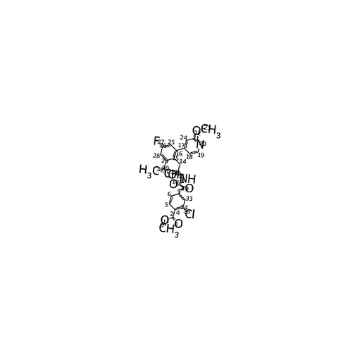 COC(=O)c1ccc(S(=O)(=O)NC(=O)Cc2c(-c3ccnc(OC)c3)cc(F)cc2C(C)C)cc1Cl